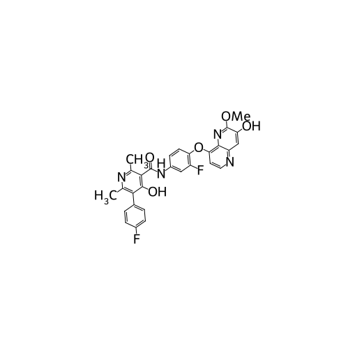 COc1nc2c(Oc3ccc(NC(=O)c4c(C)nc(C)c(-c5ccc(F)cc5)c4O)cc3F)ccnc2cc1O